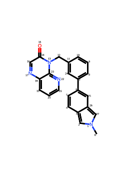 Cn1cc2ccc(-c3cccc(Cn4c(=O)cnc5cccnc54)c3)cc2c1